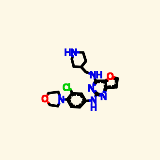 Clc1cc(Nc2nc(NCC3CCNCC3)c3occc3n2)ccc1N1CCOCC1